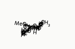 COC(=O)CCC[C@@H](COC(=O)Nc1cc(-c2ccc(C)cc2)on1)NCC(=O)NCc1cccc(F)c1F